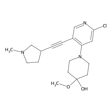 COC1(O)CCN(c2cc(Cl)ncc2C#CC2CCN(C)C2)CC1